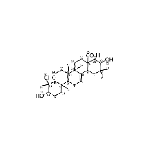 CC1(C)CC2C3=CCC4C5(C)CCC(O)C(C)(C=O)C5CCC4(C)C3(C)CCC2(C(=O)O)CC1O